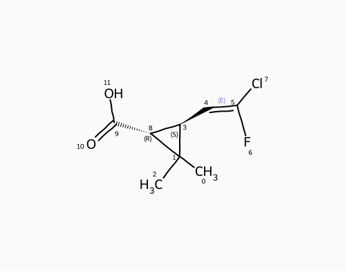 CC1(C)[C@H](/C=C(\F)Cl)[C@H]1C(=O)O